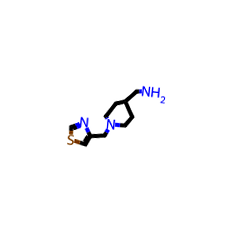 NCC1CCN(Cc2cscn2)CC1